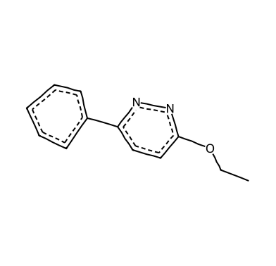 CCOc1ccc(-c2ccccc2)nn1